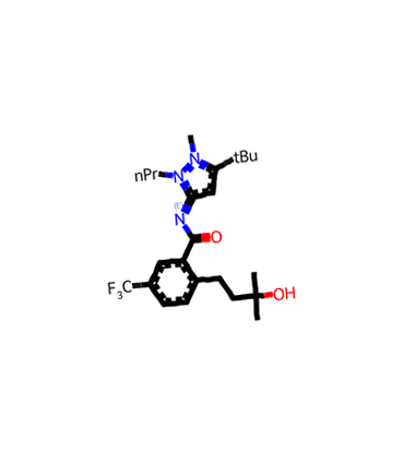 CCCn1/c(=N/C(=O)c2cc(C(F)(F)F)ccc2CCC(C)(C)O)cc(C(C)(C)C)n1C